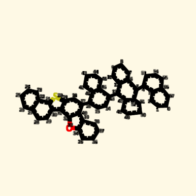 c1ccc2c(-c3c4ccccc4c(-c4ccc(-c5cc6sc7c8ccccc8ccc7c6c6oc7ccccc7c56)c5ccccc45)c4ccccc34)cccc2c1